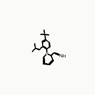 CC(C)Cc1cc(C(C)(C)C)ccc1N1C=CC=CC1C=N